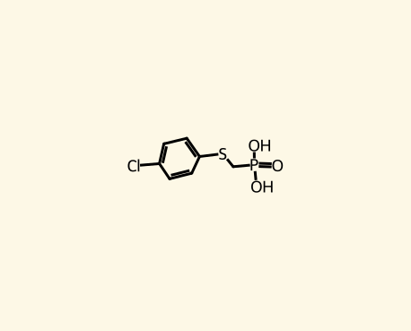 O=P(O)(O)CSc1ccc(Cl)cc1